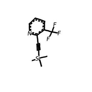 C[Si](C)(C)C#Cc1ncccc1C(F)(F)F